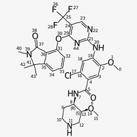 COc1cc(C(=O)N[C@@H]2CCNC[C@@H]2OC)c(Cl)cc1Nc1ncc(C(F)(F)F)c(Oc2cccc3c2C(=O)N(C)C3(C)C)n1